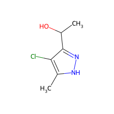 Cc1[nH]nc(C(C)O)c1Cl